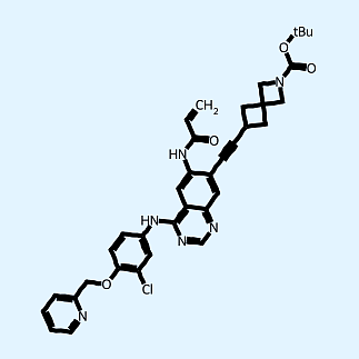 C=CC(=O)Nc1cc2c(Nc3ccc(OCc4ccccn4)c(Cl)c3)ncnc2cc1C#CC1CC2(C1)CN(C(=O)OC(C)(C)C)C2